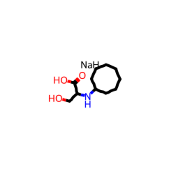 O=C(O)C(CO)NC1CCCCCCC1.[NaH]